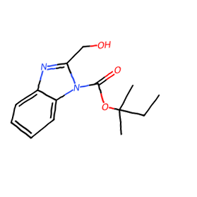 CCC(C)(C)OC(=O)n1c(CO)nc2ccccc21